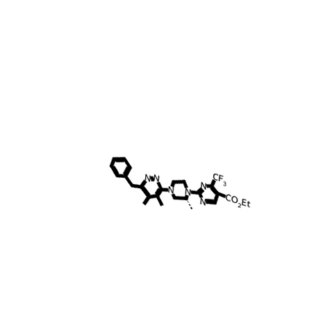 CCOC(=O)c1cnc(N2CCN(c3nnc(Cc4ccccc4)c(C)c3C)C[C@H]2C)nc1C(F)(F)F